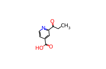 CCC(=O)c1cc(C(=O)O)ccn1